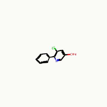 Oc1cnc(-c2ccccc2)c(Cl)c1